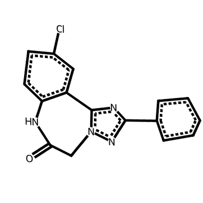 O=C1Cn2nc(-c3ccccc3)nc2-c2cc(Cl)ccc2N1